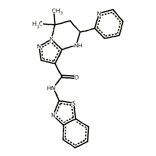 CC1(C)CC(c2ccccn2)Nc2c(C(=O)Nc3nc4ccccc4s3)cnn21